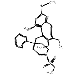 CCS(=O)(=O)N1CCC(Cc2c(OC)c(OC)cc3nc(NC)nc(N)c23)(c2ccccc2)CC1